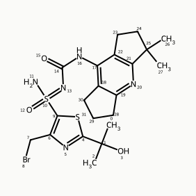 CC(C)(O)c1nc(CBr)c(S(N)(=O)=NC(=O)Nc2c3c(nc4c2CCC4(C)C)CCC3)s1